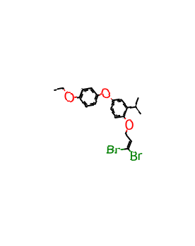 CCOc1ccc(Oc2ccc(OCC=C(Br)Br)c(C(C)C)c2)cc1